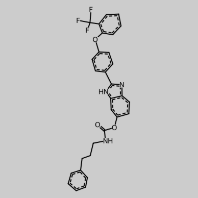 O=C(NCCCc1ccccc1)Oc1ccc2nc(-c3ccc(Oc4ccccc4C(F)(F)F)cc3)[nH]c2c1